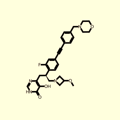 COC1CN(C[C@@H](Cc2nc[nH]c(=O)c2O)c2ccc(C#Cc3ccc(CN4CCOCC4)cc3)cc2F)C1